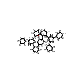 c1ccc(-c2cc(-c3ccccc3)nc(-c3ccccc3-c3ccc4c(c3)sc3cccc(-c5nc(-c6ccccc6)nc(-c6ccccc6)n5)c34)n2)cc1